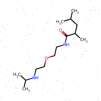 CC(C)CC(C)C(=O)NCCOCCNC(C)C